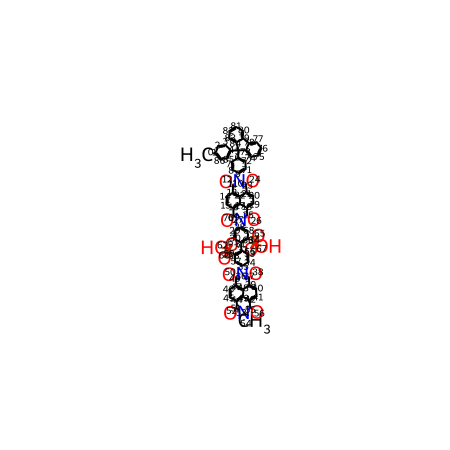 Cc1ccc(C2(c3ccc(N4C(=O)c5ccc6c7c(ccc(c57)C4=O)C(=O)N(c4ccc(-c5ccc(N7C(=O)c8ccc9c%10c(ccc(c8%10)C7=O)C(=O)N(C)C9=O)cc5S(=O)(=O)O)c(S(=O)(=O)O)c4)C6=O)cc3)c3ccccc3-c3ccccc32)cc1